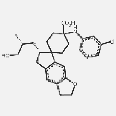 C[C@@H](CO)C[C@H]1Cc2cc3c(cc2C12CCC(Nc1cccc(Cl)c1)(C(=O)O)CC2)OCC3